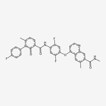 CNC(=O)c1cc2nccc(Oc3cc(F)c(NC(=O)c4ccc(C)n(-c5ccc(F)cc5)c4=O)cc3F)c2cc1C